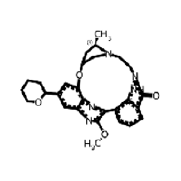 COc1nc2cc(C3CCCCO3)cc3c2nc1-c1cccc2c(=O)n([nH]c12)CCN1CC(C[C@H]1C)O3